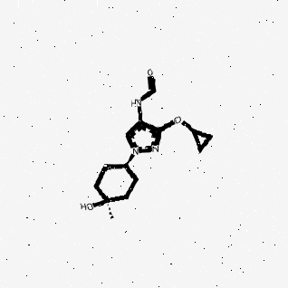 C[C@]1(O)CC[C@@H](n2cc(NC=O)c(OC3CC3)n2)CC1